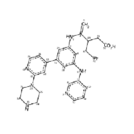 C=C(Nc1cc(Nc2cnccn2)nc(-c2ccnc(N3CCNCC3)c2)c1)C(CC(=O)O)CC(C)C